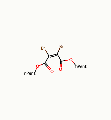 CCCCCOC(=O)/C(Br)=C(/Br)C(=O)OCCCCC